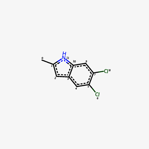 Cc1cc2cc(Cl)c(Cl)cc2[nH]1